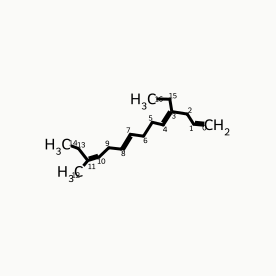 C=CCC(=CCCC=CCC=C(C)CC)CC